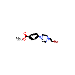 CC(C)(C)OC(=O)c1ccc(N2CCN(CCBr)CC2)cc1